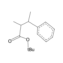 CC(C(=O)OC(C)(C)C)C(C)c1ccccc1